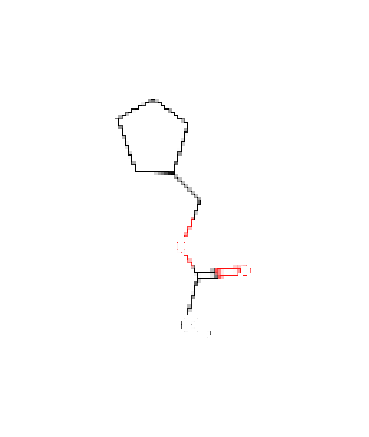 O=C(OCC1CCCC1)C(Cl)(Cl)Cl